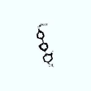 CCCCCCCCOc1ccc(-c2ccc([C@H]3CC[C@H](C)CC3=O)cc2)cc1